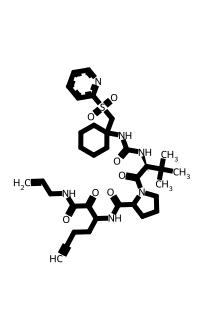 C#CCCC(NC(=O)C1CCCN1C(=O)[C@@H](NC(=O)NC1(CS(=O)(=O)c2ccccn2)CCCCC1)C(C)(C)C)C(=O)C(=O)NCC=C